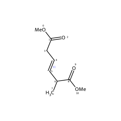 COC(=O)C/C=C/C(C)C(=O)OC